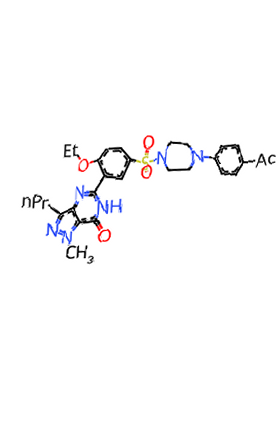 CCCc1nn(C)c2c(=O)[nH]c(-c3cc(S(=O)(=O)N4CCN(c5ccc(C(C)=O)cc5)CC4)ccc3OCC)nc12